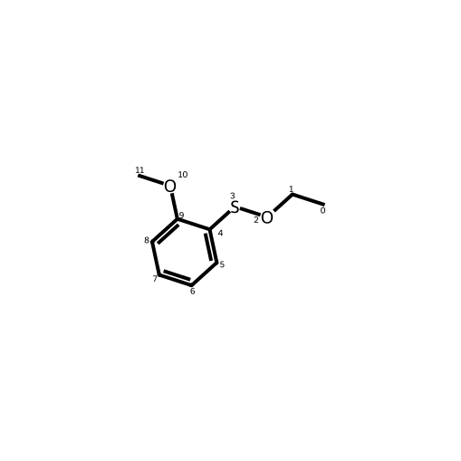 CCOSc1ccccc1OC